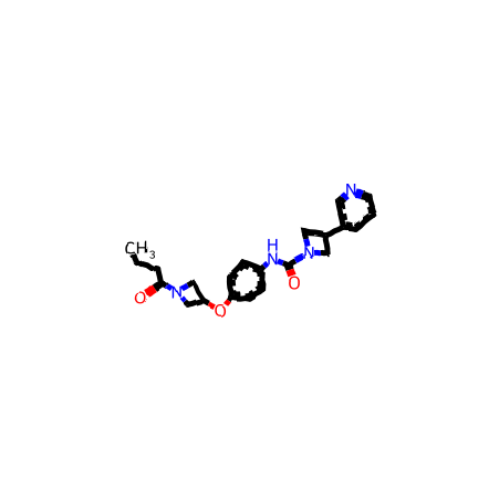 CCCC(=O)N1CC(Oc2ccc(NC(=O)N3CC(c4cccnc4)C3)cc2)C1